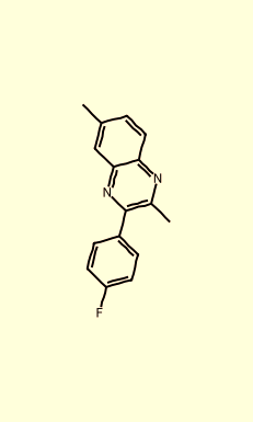 Cc1ccc2nc(C)c(-c3ccc(F)cc3)nc2c1